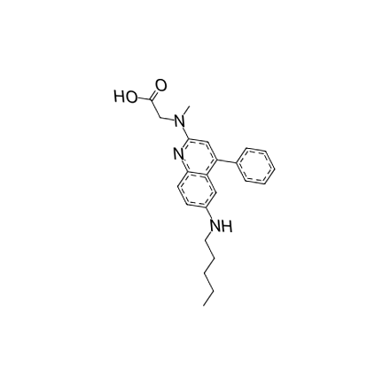 CCCCCNc1ccc2nc(N(C)CC(=O)O)cc(-c3ccccc3)c2c1